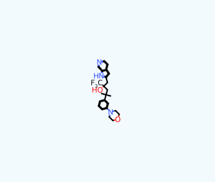 CC(C)(CC(O)(Cc1cc2ccncc2[nH]1)C(F)(F)F)c1cccc(N2CCOCC2)c1